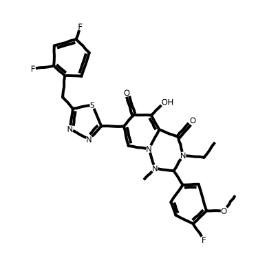 CCN1C(=O)c2c(O)c(=O)c(-c3nnc(Cc4ccc(F)cc4F)s3)cn2N(C)C1c1ccc(F)c(OC)c1